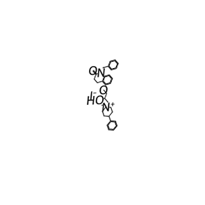 C[N+]1(CC(O)COc2cccc3c2CCC(=O)N3Cc2ccccc2)CCC(c2ccccc2)CC1.[I-]